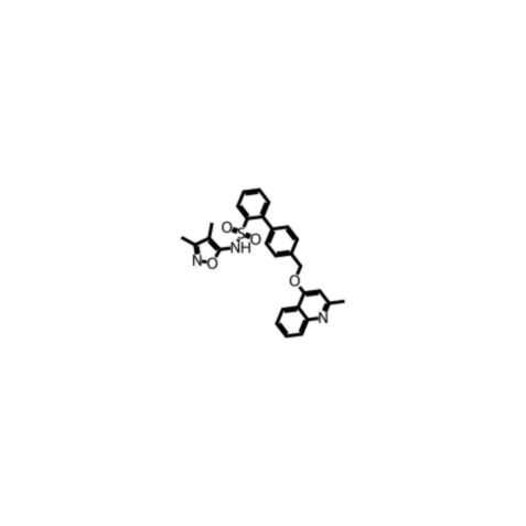 Cc1cc(OCc2ccc(-c3ccccc3S(=O)(=O)Nc3onc(C)c3C)cc2)c2ccccc2n1